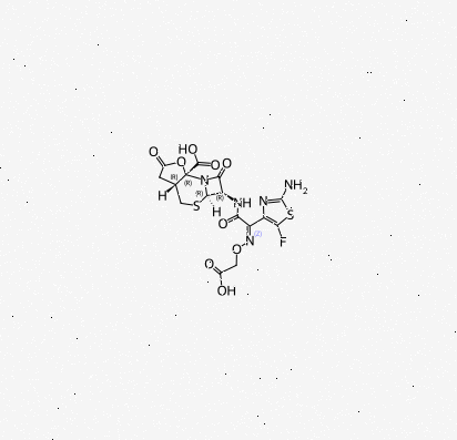 Nc1nc(/C(=N/OCC(=O)O)C(=O)N[C@@H]2C(=O)N3[C@@H]2SC[C@@H]2CC(=O)O[C@@]23C(=O)O)c(F)s1